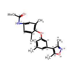 COC(=O)Nc1cc(C)c(Oc2cc(C)cc(-c3c(C)noc3C)c2)c(C)c1